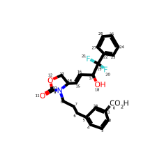 O=C(O)c1cccc(CCCN2C(=O)OCC2C=CC(O)C(F)(F)c2ccccc2)c1